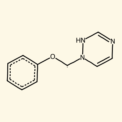 [CH](Oc1ccccc1)N1C=CN=CN1